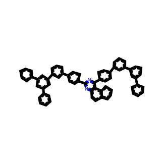 c1ccc(-c2cccc(-c3cccc(-c4ccc(-c5nc(-c6ccc(-c7cccc(-c8cc(-c9ccccc9)cc(-c9ccccc9)c8)c7)cc6)nc6ccc7ccccc7c56)cc4)c3)c2)cc1